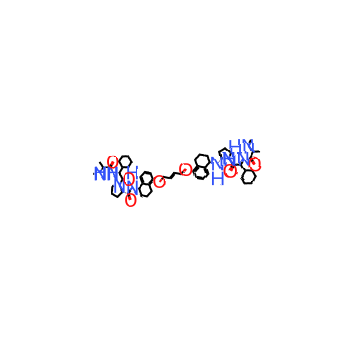 CNC(C)C(=O)NC(C(=O)N1CCC[C@H]1N[C@@H]1CCCc2c(OC/C=C/COc3cccc4c3CCC[C@H]4NC(=O)[C@@H]3CCCN3C(=O)C(NC(=O)C(C)NC)C3CCCCC3)cccc21)C1CCCCC1